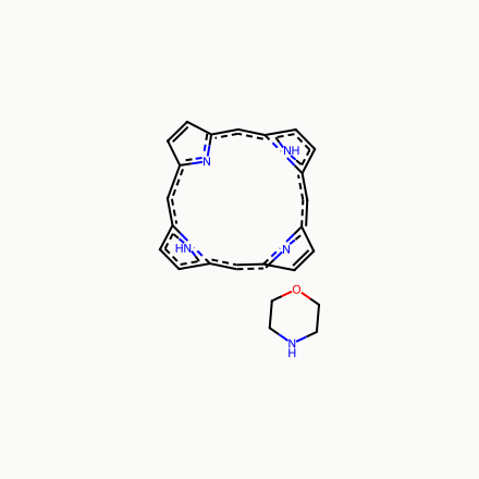 C1=Cc2cc3ccc(cc4nc(cc5ccc(cc1n2)[nH]5)C=C4)[nH]3.C1COCCN1